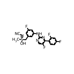 C[SH](O)(Cc1cc(F)cc(Nc2ncc(F)c(-c3ccc(F)cc3F)n2)c1)=NC#N